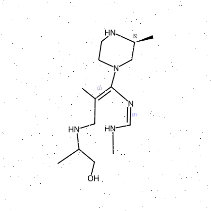 CN/C=N\C(=C(\C)CNC(C)CO)N1CCN[C@@H](C)C1